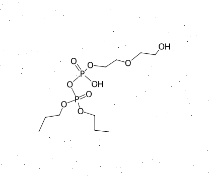 CCCOP(=O)(OCCC)OP(=O)(O)OCCOCCO